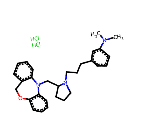 CN(C)c1cccc(CCCN2CCCC2CN2c3ccccc3COc3ccccc32)c1.Cl.Cl